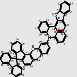 c1ccc(N(c2ccc3c(c2)Oc2c(ccc4c2-c2ccccc2C42c4ccccc4-c4ccccc42)O3)c2ccccc2-c2cccc3c2sc2ccccc23)cc1